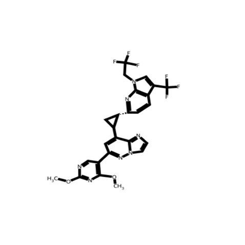 COc1ncc(-c2cc(C3C[C@@H]3c3ccc4c(C(F)(F)F)cn(CC(F)(F)F)c4n3)c3nccn3n2)c(OC)n1